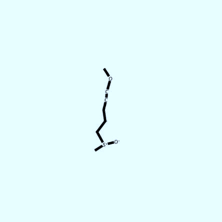 COCCC[CH]C[S+](C)[O-]